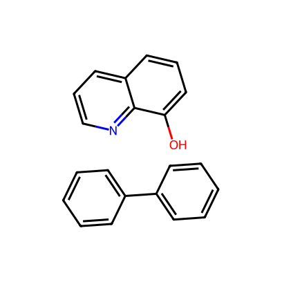 Oc1cccc2cccnc12.c1ccc(-c2ccccc2)cc1